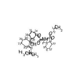 C=CCOC(=O)CC1(CNC(=O)Oc2cccc([C@]3(O)CCCC[C@@H]3CN(C)C)c2)CCCCC1